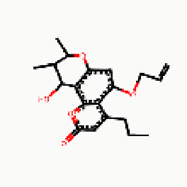 C=CCOc1cc2c(c3oc(=O)cc(CCC)c13)C(O)C(C)C(C)O2